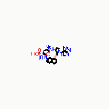 O=C(O)N[C@@H](Cc1c[nH]cn1)C(=O)Nc1ccc2cccc(OCC3CCCN3c3ncnc4[nH]cnc34)c2c1